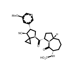 COc1cncc([C@@H]2CN(C(=O)[C@@H]3CC[C@@H]4CCC[C@H](NC(=O)O)C(=O)N43)C3(CC3)[C@H]2C#N)c1